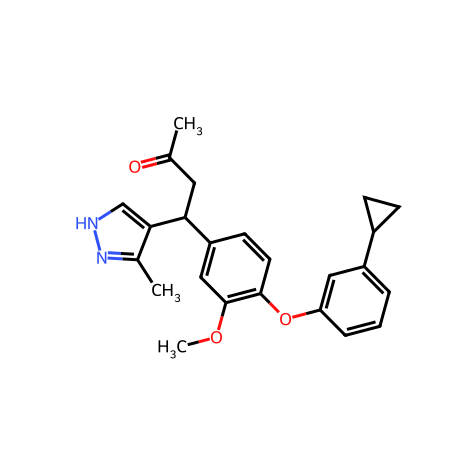 COc1cc(C(CC(C)=O)c2c[nH]nc2C)ccc1Oc1cccc(C2CC2)c1